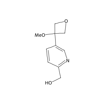 COC1(c2ccc(CO)nc2)COC1